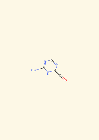 NC1=NC=NC(=C=O)N1